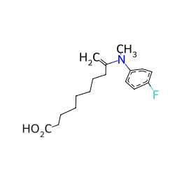 C=C(CCCCCCCC(=O)O)N(C)c1ccc(F)cc1